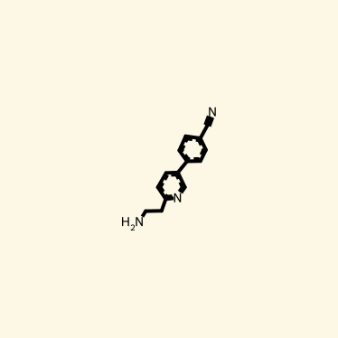 N#Cc1ccc(-c2ccc(CCN)nc2)cc1